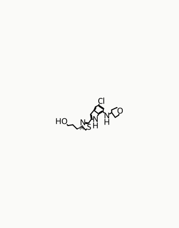 OCCC[C@@H]1CSC(c2cc3cc(Cl)cc(NC4CCOCC4)c3[nH]2)=N1